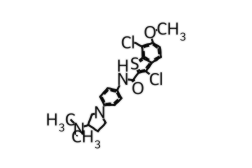 COc1ccc2c(Cl)c(C(=O)Nc3ccc(N4CCC(N(C)C)C4)cc3)sc2c1Cl